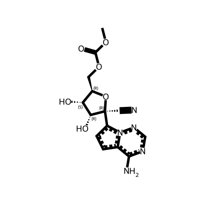 COC(=O)OC[C@H]1O[C@@](C#N)(c2ccc3c(N)ncnn23)[C@H](O)[C@@H]1O